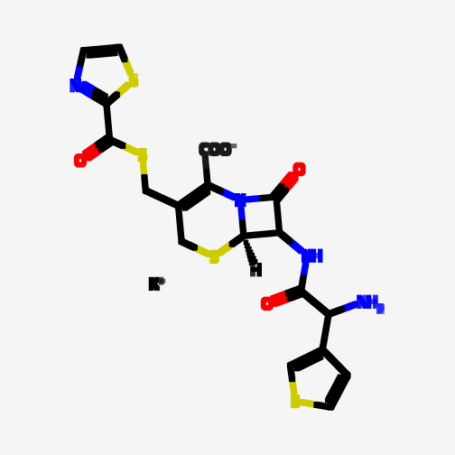 NC(C(=O)NC1C(=O)N2C(C(=O)[O-])=C(CSC(=O)c3nccs3)CS[C@H]12)c1ccsc1.[K+]